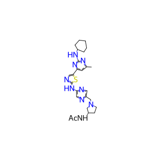 CC(=O)NC1CCN(Cc2cnc(Nc3ncc(-c4cc(C)nc(NC5CCCCC5)n4)s3)cn2)C1